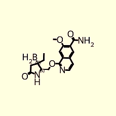 B[C@@]1(CC)CC(=O)N[C@@H]1COc1nccc2cc(C(N)=O)c(OC)cc12